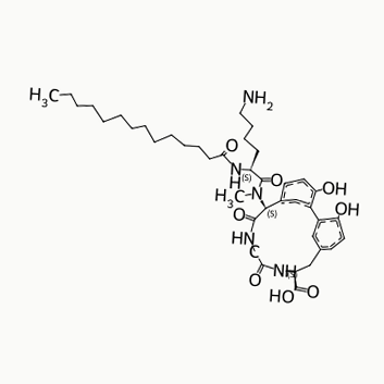 CCCCCCCCCCCCCC(=O)N[C@@H](CCCCN)C(=O)N(C)[C@@H]1C(=O)NCC(=O)N[C@H](C(=O)O)Cc2ccc(O)c(c2)-c2cc1ccc2O